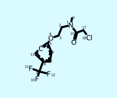 CN(CCOc1ccc(C(F)(F)F)cc1)C(=O)CCl